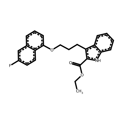 CCOC(=O)c1[nH]c2ccccc2c1CCCOc1cccc2cc(F)ccc12